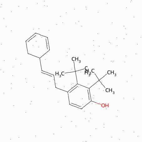 CC(C)(C)c1c(O)ccc(CC=CC2C=CC=CC2)c1C(C)(C)C